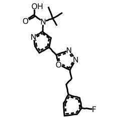 CC(C)(C)N(C(=O)O)c1cc(-c2nnc(CCc3cccc(F)c3)o2)ccn1